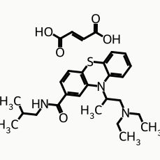 CCN(CC)CC(C)N1c2ccccc2Sc2ccc(C(=O)NCC(C)C)cc21.O=C(O)/C=C/C(=O)O